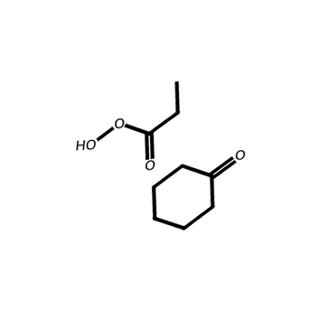 CCC(=O)OO.O=C1CCCCC1